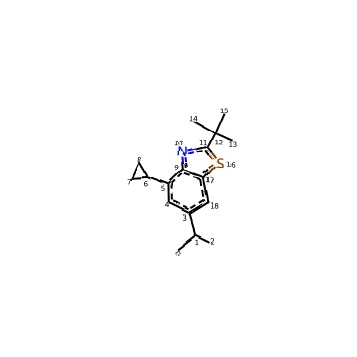 CC(C)c1cc(C2CC2)c2nc(C(C)(C)C)sc2c1